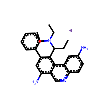 CCC(c1c(-c2ccccc2)cc(N)c2cnc3ccc(N)cc3c12)N(CC)CC.I